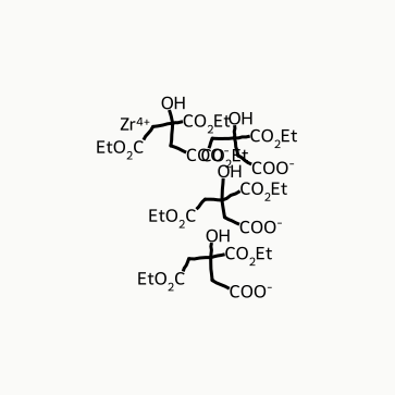 CCOC(=O)CC(O)(CC(=O)[O-])C(=O)OCC.CCOC(=O)CC(O)(CC(=O)[O-])C(=O)OCC.CCOC(=O)CC(O)(CC(=O)[O-])C(=O)OCC.CCOC(=O)CC(O)(CC(=O)[O-])C(=O)OCC.[Zr+4]